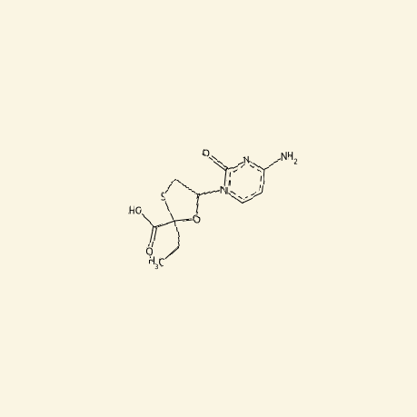 CCC1(C(=O)O)OC(n2ccc(N)nc2=O)CS1